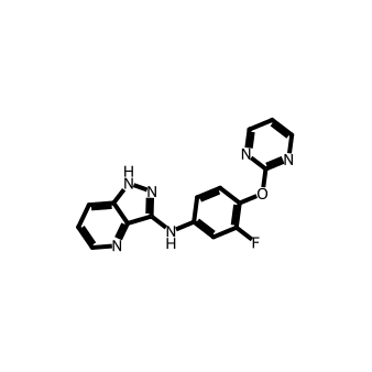 Fc1cc(Nc2n[nH]c3cccnc23)ccc1Oc1ncccn1